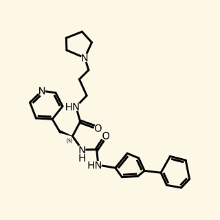 O=C(Nc1ccc(-c2ccccc2)cc1)N[C@@H](Cc1ccncc1)C(=O)NCCCN1CCCC1